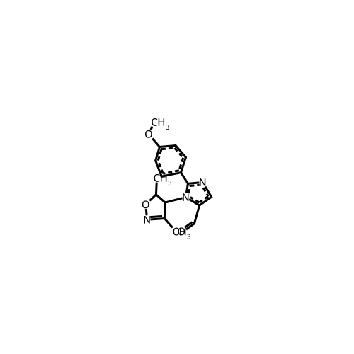 COc1ccc(-c2ncc(C=O)n2C2C(C)=NOC2C)cc1